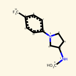 O=C(O)NC1CCN(c2ccc(C(F)(F)F)cc2)C1